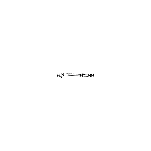 N.[N-]=[N+]=N